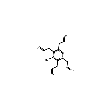 C=CCc1cc(CC=C)c(CC=C)c(O)c1CC=C